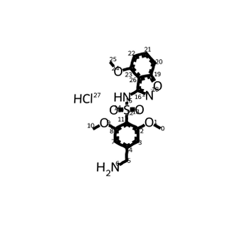 COc1cc(CN)cc(OC)c1S(=O)(=O)Nc1noc2cccc(OC)c12.Cl